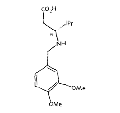 COc1ccc(CN[C@H](CC(=O)O)C(C)C)cc1OC